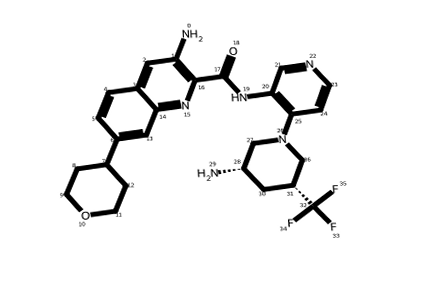 Nc1cc2ccc(C3CCOCC3)cc2nc1C(=O)Nc1cnccc1N1C[C@@H](N)C[C@@H](C(F)(F)F)C1